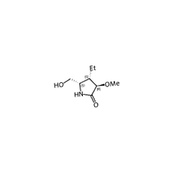 CC[C@H]1[C@@H](CO)NC(=O)[C@@H]1OC